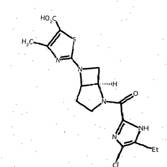 CCc1[nH]c(C(=O)N2CCC3[C@H]2CN3c2nc(C)c(C(=O)O)s2)nc1Cl